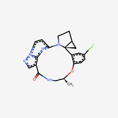 C[C@H]1CNC(=O)c2cnn3ccc(nc23)N2CCC3C[C@]32c2cc(F)ccc2O1